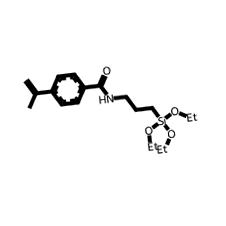 C=C(C)c1ccc(C(=O)NCCC[Si](OCC)(OCC)OCC)cc1